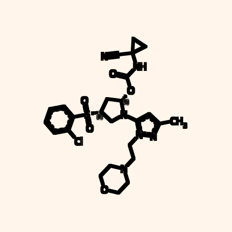 Cc1cc(N2C[C@H](S(=O)(=O)c3ccccc3Cl)C[C@@H]2OC(=O)NC2(C#N)CC2)n(CCN2CCOCC2)n1